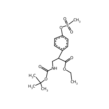 CCOC(=O)C(CNC(=O)OC(C)(C)C)c1ccc(OS(C)(=O)=O)cc1